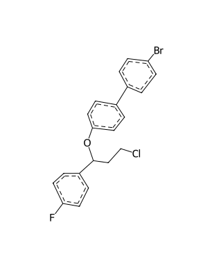 Fc1ccc(C(CCCl)Oc2ccc(-c3ccc(Br)cc3)cc2)cc1